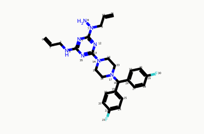 C=CCNc1nc(N(N)CC=C)nc(N2CCN(C(c3ccc(F)cc3)c3ccc(F)cc3)CC2)n1